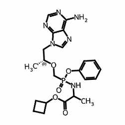 CC(NP(=O)(CO[C@H](C)Cn1cnc2c(N)ncnc21)Oc1ccccc1)C(=O)OC1CCC1